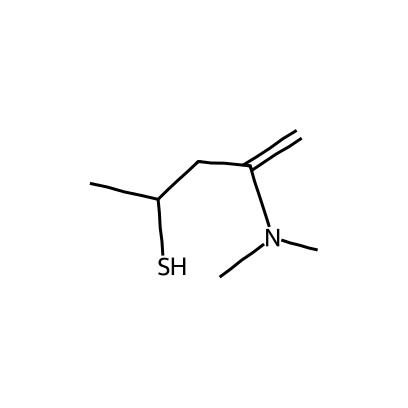 C=C(CC(C)S)N(C)C